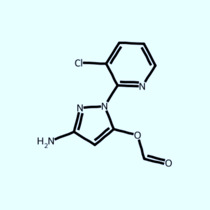 Nc1cc(OC=O)n(-c2ncccc2Cl)n1